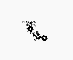 CCc1nc(-c2ccccc2)cc(=O)n1CCOc1ccc(NC(C)(C)C(=O)O)cc1